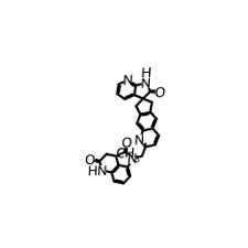 CC12CC(=O)Nc3cccc(c31)N(Cc1ccc3cc4c(cc3n1)CC1(C4)C(=O)Nc3ncccc31)C2=O